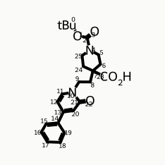 CC(C)(C)OC(=O)N1CCC(CCn2ccc(-c3ccccc3)cc2=O)(C(=O)O)CC1